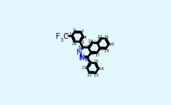 FC(F)(F)c1cccc(-c2nnc(-c3ccccc3)c3cc4ccccc4cc23)c1